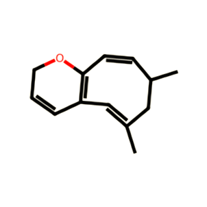 C/C1=C\C2=C(/C=C\C(C)C1)OCC=C2